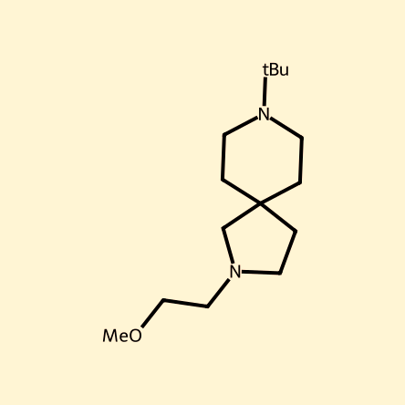 COCCN1CCC2(CCN(C(C)(C)C)CC2)C1